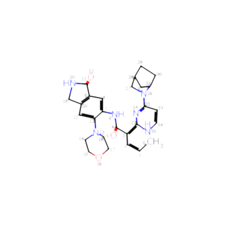 C/C=C\C(C(=O)Nc1cc2c(cc1N1CCOCC1)CNC2=O)=C1\N=C(N2CC3CCC2C3)C=CN1